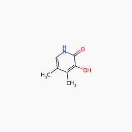 Cc1c[nH]c(=O)c(O)c1C